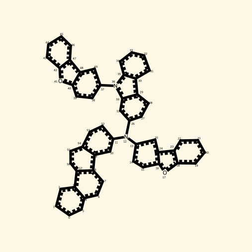 c1ccc2c(c1)ccc1c3cc(N(c4ccc5oc6ccccc6c5c4)c4ccc5c6ccccc6n(-c6ccc7oc8ccccc8c7c6)c5c4)ccc3ccc21